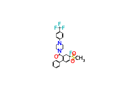 CS(=O)(=O)C1(F)C=CC(c2ccccc2)=C(C(=O)N2CCN(c3ccc(C(F)(F)F)cc3)CC2)C1